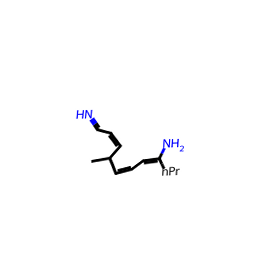 CCC/C(N)=C\C=C/C(C)/C=C\C=N